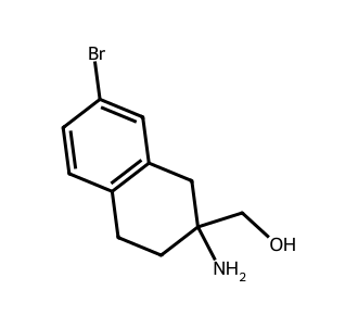 NC1(CO)CCc2ccc(Br)cc2C1